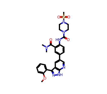 COc1ccccc1-c1n[nH]c2ncc(-c3ccc(NC(=O)N4CCN(S(C)(=O)=O)CC4)c(C(=O)N(C)C)c3)cc12